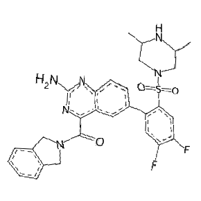 CC1CN(S(=O)(=O)c2cc(F)c(F)cc2-c2ccc3nc(N)nc(C(=O)N4Cc5ccccc5C4)c3c2)CC(C)N1